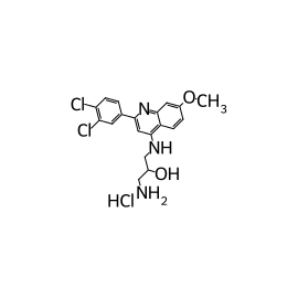 COc1ccc2c(NCC(O)CN)cc(-c3ccc(Cl)c(Cl)c3)nc2c1.Cl